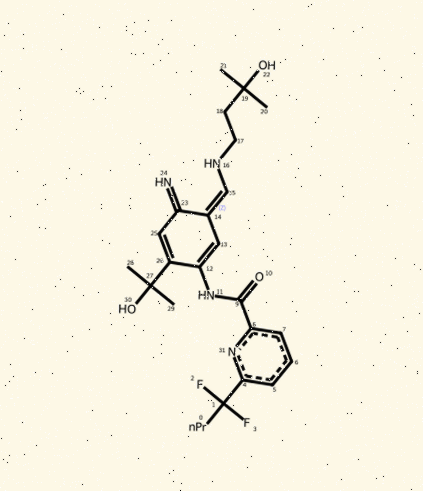 CCCC(F)(F)c1cccc(C(=O)NC2=C/C(=C/NCCC(C)(C)O)C(=N)C=C2C(C)(C)O)n1